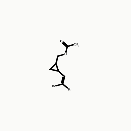 CC(=O)OCC1CC1C=C(Br)Br